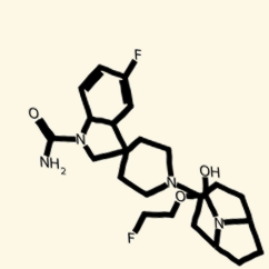 NC(=O)N1CC2(CCN(C3CCC4CCC(C3)N4C(O)OCCF)CC2)C2C=C(F)C=CC21